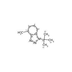 Cc1cccc2c1nnn2C(C)(C)C